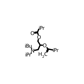 C=C(OC(COC(=O)C(C)C)CN(C(C)C)C(C)CC)C(C)C